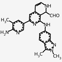 Cc1cc(-c2cc3c(c(Nc4ccc5c(C)n(C)nc5c4)n2)C(C=O)NC=C3)cnc1N